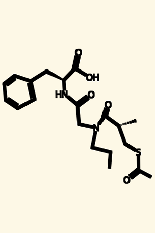 CCCN(CC(=O)N[C@@H](Cc1ccccc1)C(=O)O)C(=O)[C@H](C)CSC(C)=O